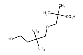 CC(C)(CCO)COCC(C)(C)C(=O)O